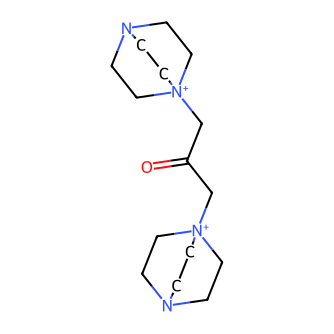 O=C(C[N+]12CCN(CC1)CC2)C[N+]12CCN(CC1)CC2